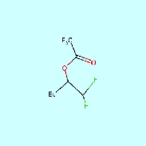 CCC(OC(=O)C(F)(F)F)C(F)F